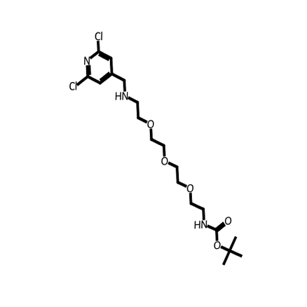 CC(C)(C)OC(=O)NCCOCCOCCOCCNCc1cc(Cl)nc(Cl)c1